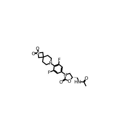 CC(=O)NC[C@H]1CN(c2cc(F)c(N3CCC4(CC3)CS(=O)(=O)C4)c(F)c2)C(=O)O1